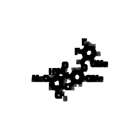 COc1cc(Cl)c(-n2c(=O)[nH]c3c(OC)nc(C(F)(F)F)nc32)cc1OCc1c(OC)ccc(F)c1F